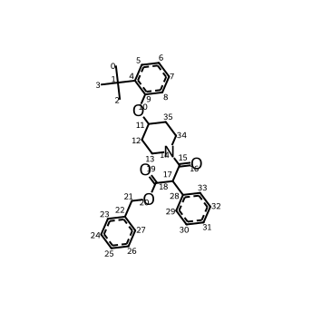 CC(C)(C)c1ccccc1OC1CCN(C(=O)C(C(=O)OCc2ccccc2)c2ccccc2)CC1